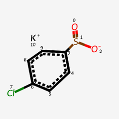 O=S([O-])c1ccc(Cl)cc1.[K+]